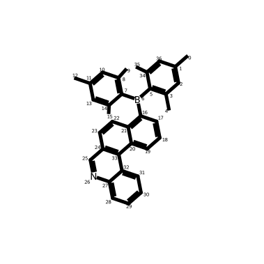 Cc1cc(C)c(B(c2c(C)cc(C)cc2C)c2cccc3c2ccc2cnc4ccccc4c23)c(C)c1